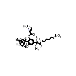 CC(C)(C(=O)OCCCCO[N+](=O)[O-])c1cc(O)c([C@@H]2CC(=O)[C@@H]3C[C@H]2C3(C)C)c(OC(=O)/C=C/C(=O)O)c1